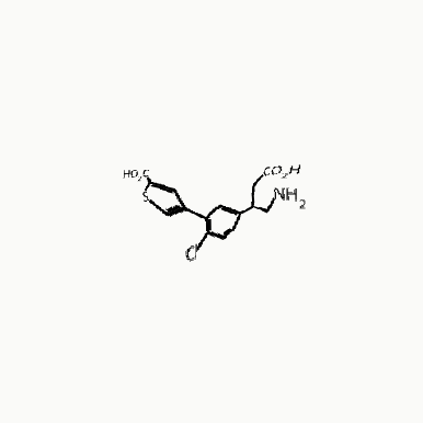 NC[C@H](CC(=O)O)c1ccc(Cl)c(-c2csc(C(=O)O)c2)c1